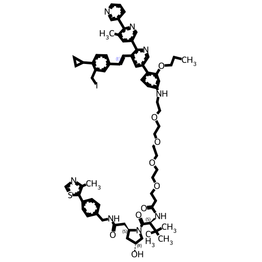 CCCOc1cc(NCCOCCOCCOCCOCCC(=O)N[C@H](C(=O)N2C[C@H](O)C[C@H]2CC(=O)NCc2ccc(-c3scnc3C)cc2)C(C)(C)C)ccc1-c1cnc(-c2cnc(-c3cccnc3)c(C)c2)c(/C=C/c2ccc(C3CC3)c(CI)c2)c1